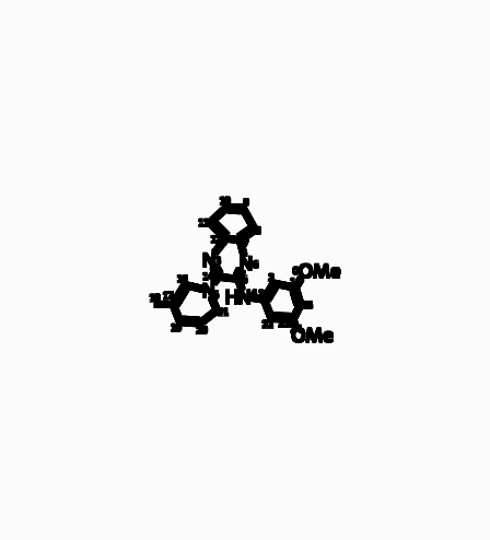 COc1cc(Nc2nc3ccccc3nc2N2C=C(C)C=CC2)cc(OC)c1